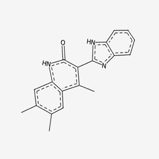 Cc1cc2[nH]c(=O)c(-c3nc4ccccc4[nH]3)c(C)c2cc1C